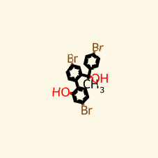 CC(O)(c1ccc(Br)cc1)c1cc(Br)ccc1-c1ccc(Br)cc1O